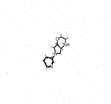 [c]1ncccc1N1CC2NCCOC2C1